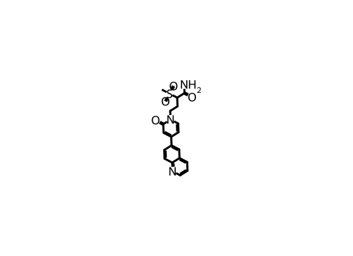 CS(=O)(=O)C(CCn1ccc(-c2ccc3ncccc3c2)cc1=O)C(N)=O